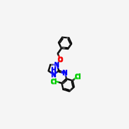 Clc1cccc(Cl)c1N=C1NCCN1OCc1ccccc1